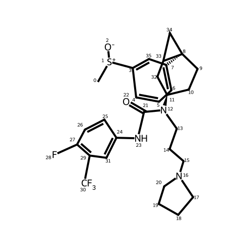 C[S+]([O-])c1cccc([C@]23CC[C@@H](N(CCCN4CCCC4)C(=O)Nc4ccc(F)c(C(F)(F)F)c4)CC2C3)c1